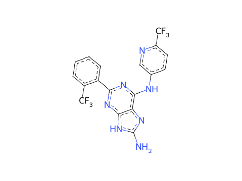 Nc1nc2c(Nc3ccc(C(F)(F)F)nc3)nc(-c3ccccc3C(F)(F)F)nc2[nH]1